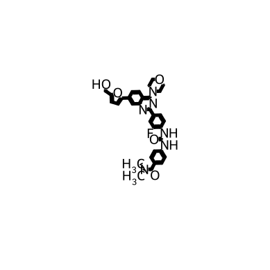 CN(C)C(=O)c1ccc(NC(=O)Nc2ccc(-c3nc(N4CCOCC4)c4ccc(-c5ccc(CO)o5)cc4n3)cc2F)cc1